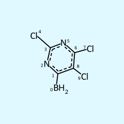 Bc1nc(Cl)nc(Cl)c1Cl